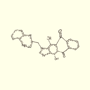 O=C1c2ccccc2C(=O)c2c1c(O)c1ncn(Cc3cnc4ccccc4n3)c1c2O